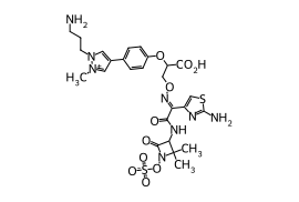 C[n+]1cc(-c2ccc(OC(CON=C(C(=O)NC3C(=O)N(OS(=O)(=O)[O-])C3(C)C)c3csc(N)n3)C(=O)O)cc2)cn1CCCN